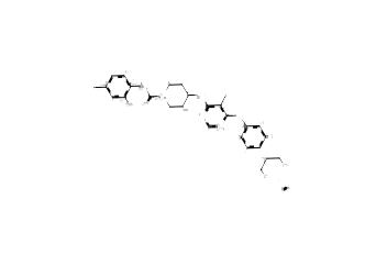 Cc1c(Oc2ccc([C@H]3CO[S@@](=O)OC3)cc2)ncnc1OC1CCN(C(=O)Nc2ccc(Cl)cc2Cl)CC1